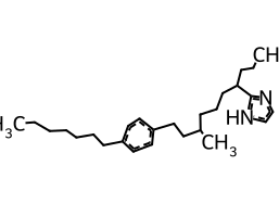 CCCCCCCc1ccc(CCC(C)CCCC(CCC)c2ncc[nH]2)cc1